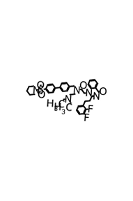 CCN(CC)CCN(Cc1ccc(-c2ccc(S(=O)(=O)N3CCCCC3)cc2)cc1)C(=O)Cn1c(CCc2cccc(F)c2F)nc(=O)c2ccccc21